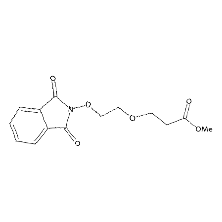 COC(=O)CCOCCON1C(=O)c2ccccc2C1=O